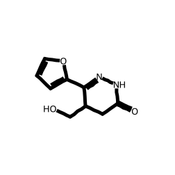 O=C1CC(CO)C(c2ccco2)=NN1